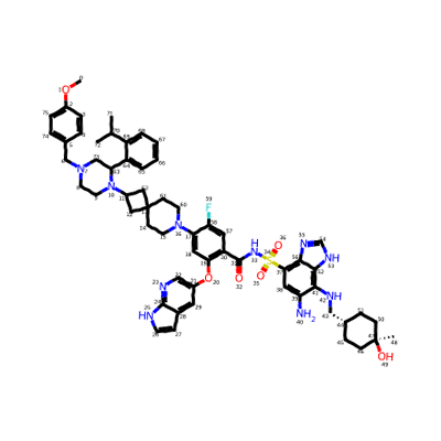 COc1ccc(CN2CCN(C3CC4(CCN(c5cc(Oc6cnc7[nH]ccc7c6)c(C(=O)NS(=O)(=O)c6cc(N)c(NC[C@H]7CC[C@](C)(O)CC7)c7[nH]cnc67)cc5F)CC4)C3)C(c3ccccc3C(C)C)C2)cc1